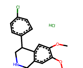 COc1cc2c(cc1OC)C(c1ccc(Cl)cc1)CNC2.Cl